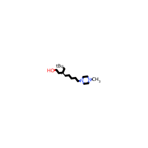 CN1CCN(CCCCC[C@@H](CCO)CC(C)(C)C)CC1